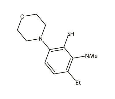 CCc1ccc(N2CCOCC2)c(S)c1NC